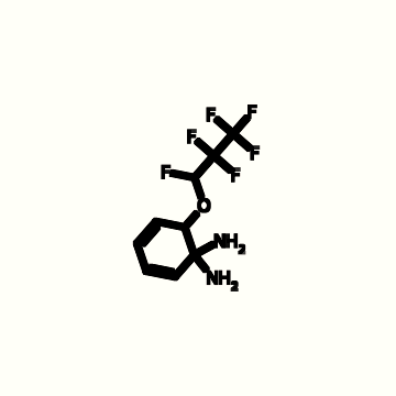 NC1(N)C=CC=CC1OC(F)C(F)(F)C(F)(F)F